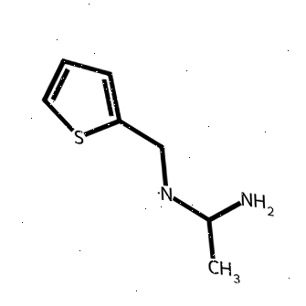 CC(N)[N]Cc1cccs1